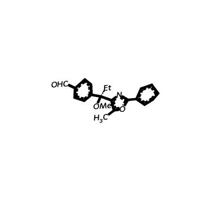 CC[C@](OC)(c1ccc(C=O)cc1)c1nc(-c2ccccc2)oc1C